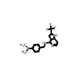 CN(C)c1ccc(CNc2nccc3[nH]c(C(F)(F)F)cc23)cc1